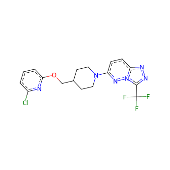 FC(F)(F)c1nnc2ccc(N3CCC(COc4cccc(Cl)n4)CC3)nn12